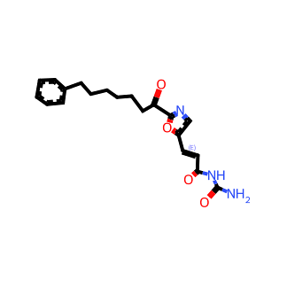 NC(=O)NC(=O)/C=C/c1cnc(C(=O)CCCCCCc2ccccc2)o1